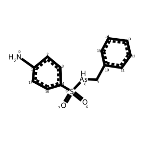 Nc1ccc(S(=O)(=O)[AsH]Cc2ccccc2)cc1